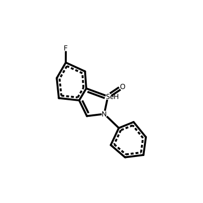 O=[SeH]1=c2cc(F)ccc2=CN1c1ccccc1